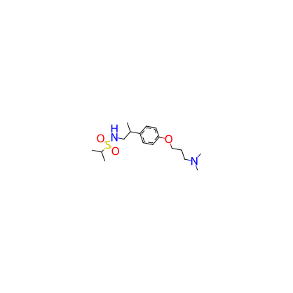 CC(CNS(=O)(=O)C(C)C)c1ccc(OCCCN(C)C)cc1